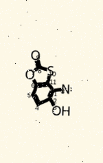 [N]c1c(O)ccc2oc(=O)sc12